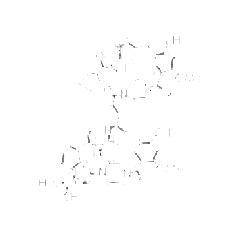 C=CC(=O)N1CCN(C(=O)c2cc(Sc3sc(NC(=O)c4cccc(CN(C)C)c4)nc3C=CC(=O)N3CCN(C(=O)c4cc(Sc5cnc(NC(=O)C6CCCC6)s5)c(C)cc4OC)CC3)c(C)cc2OC)C[C@H]1C